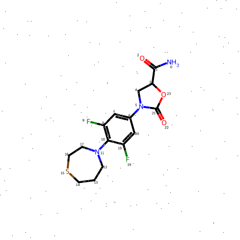 NC(=O)C1CN(c2cc(F)c(N3CCCSCC3)c(F)c2)C(=O)O1